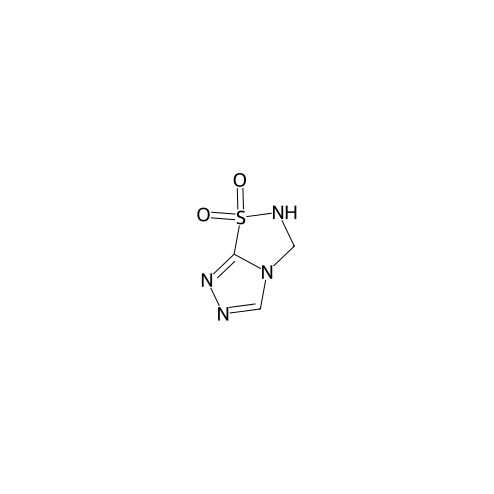 O=S1(=O)NCn2cnnc21